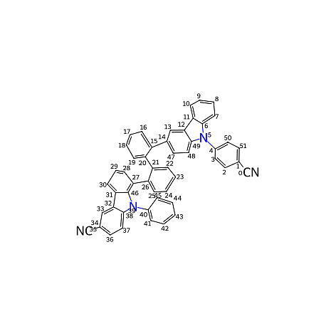 N#Cc1ccc(-n2c3ccccc3c3cc(-c4ccccc4-c4ccccc4-c4cccc5c6cc(C#N)ccc6n(-c6ccccc6)c45)ccc32)cc1